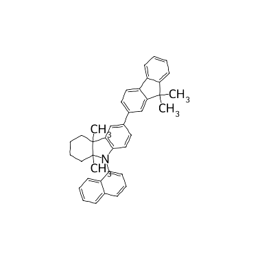 CC1(C)c2ccccc2-c2ccc(-c3ccc4c(c3)C3(C)CCCCC3(C)N4c3cccc4ccccc34)cc21